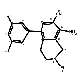 CCN1CCc2c(-c3cc(C)cc(C)c3)cc(C#N)c(N)c2C1